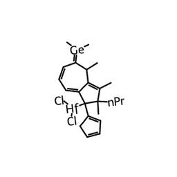 CCCC1(C)C(C)=C2C(=CC=C[C](=[Ge]([CH3])[CH3])C2C)[C]1(C1=CC=CC1)[Hf]([Cl])[Cl]